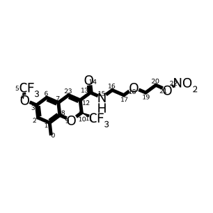 Cc1cc(OC(F)(F)F)cc2c1O[C@H](C(F)(F)F)C(C(=O)NCCOCCO[N+](=O)[O-])=C2